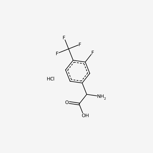 Cl.NC(C(=O)O)c1ccc(C(F)(F)F)c(F)c1